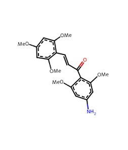 COc1cc(OC)c(/C=C/C(=O)c2c(OC)cc(N)cc2OC)c(OC)c1